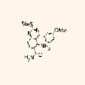 COc1cccc(-c2nc(SC)nc3ccc(C(N)=O)c(N)c23)c1